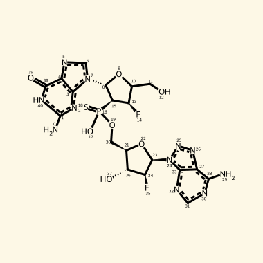 Nc1nc2c(ncn2[C@@H]2OC(CO)[C@@H](F)[C@H]2P(O)(=S)OC[C@H]2O[C@@H](n3nnc4c(N)ncnc43)[C@@H](F)[C@@H]2O)c(=O)[nH]1